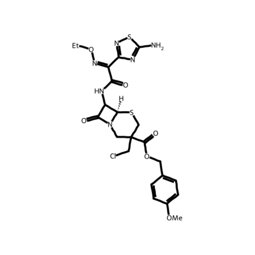 CCON=C(C(=O)NC1C(=O)N2CC(CCl)(C(=O)OCc3ccc(OC)cc3)CS[C@H]12)c1nsc(N)n1